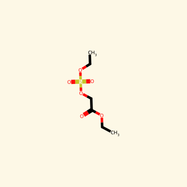 CCOC(=O)COS(=O)(=O)OCC